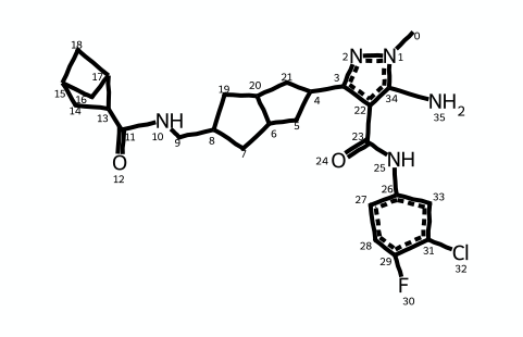 Cn1nc(C2CC3CC(CNC(=O)C4CC5CC4C5)CC3C2)c(C(=O)Nc2ccc(F)c(Cl)c2)c1N